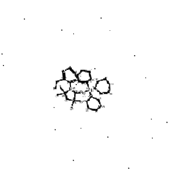 CCc1cccc(CC)c1N1[CH]([Ru][PH](C2CCCCC2)(C2CCCCC2)C2CCCCC2)C(C)(C)CC1(C)C